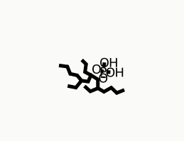 CCCCC(CC)CC(CCC)(CC(CC)CCCC)OP(=O)(O)O